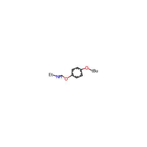 CCNCOc1ccc(OC(C)(C)C)cc1